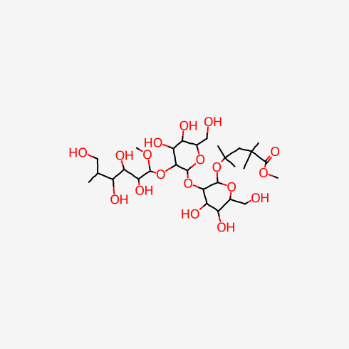 COC(=O)C(C)(C)CC(C)(C)OC1OC(CO)C(O)C(O)C1OC1OC(CO)C(O)C(O)C1OC(OC)C(O)C(O)C(O)C(C)CO